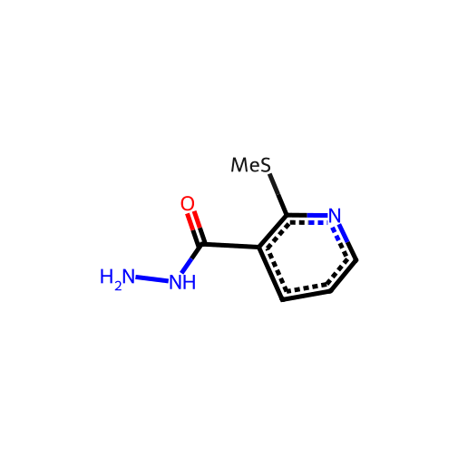 CSc1ncccc1C(=O)NN